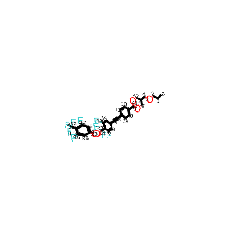 CCCOCC1COC(c2ccc(C#Cc3cc(F)c(C(F)(F)Oc4cc(F)c(C(F)(F)F)c(F)c4)c(F)c3)cc2)OC1